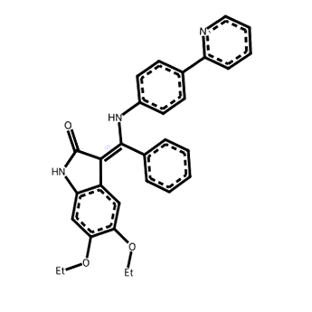 CCOc1cc2c(cc1OCC)/C(=C(/Nc1ccc(-c3ccccn3)cc1)c1ccccc1)C(=O)N2